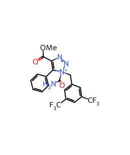 COC(=O)C1=C(c2ccccc2)[N+](Cc2cc(C(F)(F)F)cc(C(F)(F)F)c2)(C(N)=O)N=N1